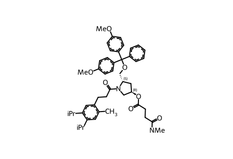 CNC(=O)CCC(=O)O[C@@H]1C[C@@H](COC(c2ccccc2)(c2ccc(OC)cc2)c2ccc(OC)cc2)N(C(=O)CCc2cc(C(C)C)c(C(C)C)cc2C)C1